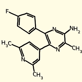 Cc1cc(-c2nc(C)c(N)nc2-c2ccc(F)cc2)cc(C)n1